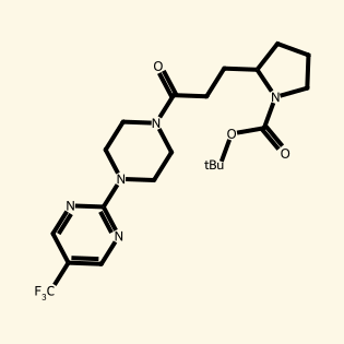 CC(C)(C)OC(=O)N1CCCC1CCC(=O)N1CCN(c2ncc(C(F)(F)F)cn2)CC1